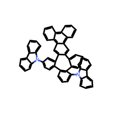 c1ccc2c(c1)-c1cc3c4ccccc4c4ccccc4c3cc1-c1cc(-n3c4ccccc4c4ccccc43)ccc1-c1cccc(-n3c4ccccc4c4ccccc43)c1-2